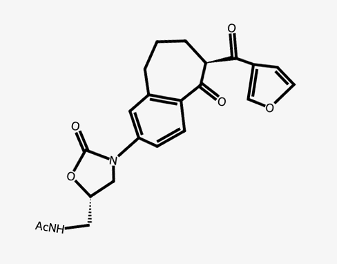 CC(=O)NC[C@H]1CN(c2ccc3c(c2)CCC[C@@H](C(=O)c2ccoc2)C3=O)C(=O)O1